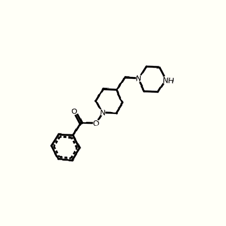 O=C(ON1CCC(CN2CCNCC2)CC1)c1ccccc1